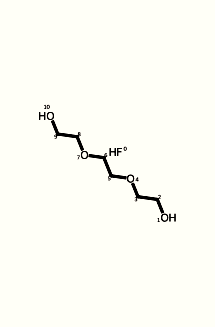 F.OCCOCCOCCO